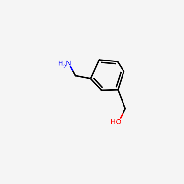 NCc1[c]ccc(CO)c1